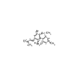 CCN(C)/C=N/c1cc(Br)c(O[C@H](C)c2cc(C)cc(C)c2)nc1C